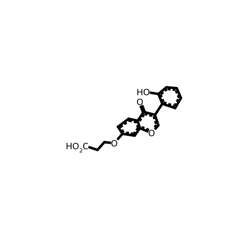 O=C(O)CCOc1ccc2c(=O)c(-c3ccccc3O)coc2c1